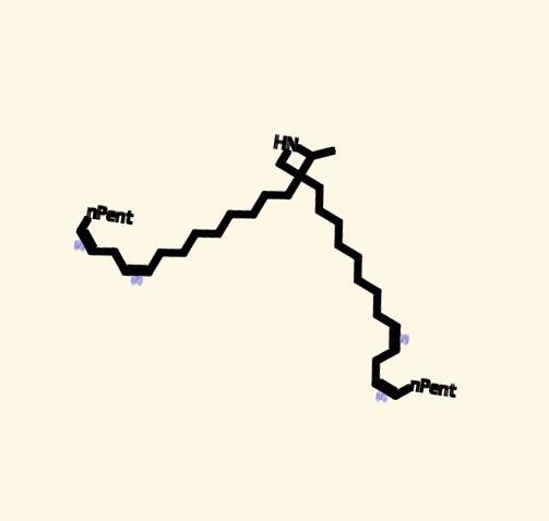 CCCCC/C=C\C/C=C\CCCCCCCCC1(CCCCCCCC/C=C\C/C=C\CCCCC)CNC1C